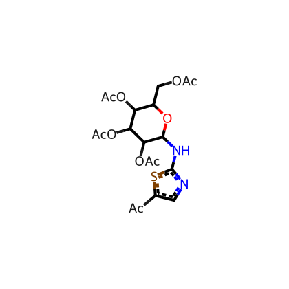 CC(=O)OCC1OC(Nc2ncc(C(C)=O)s2)C(OC(C)=O)C(OC(C)=O)C1OC(C)=O